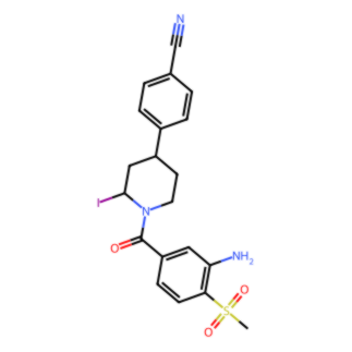 CS(=O)(=O)c1ccc(C(=O)N2CCC(c3ccc(C#N)cc3)CC2I)cc1N